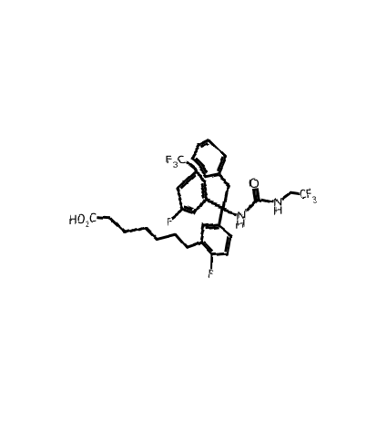 O=C(O)CCCCCCc1cc(C(Cc2ccccc2)(NC(=O)NCC(F)(F)F)c2cc(F)cc(C(F)(F)F)c2)ccc1F